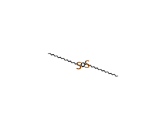 CCCCCCCCCCCCCCCCCCSc1ccc(SCCCCCCCCCCCCCCCCCC)cc1